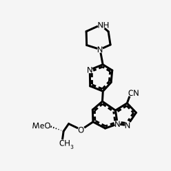 CO[C@@H](C)COc1cc(-c2ccc(N3CCNCC3)nc2)c2c(C#N)cnn2c1